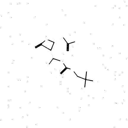 CC(OC(=O)OCC(Cl)(Cl)Cl)[C@@H]1C(=O)N[C@@H]1CC(=O)O